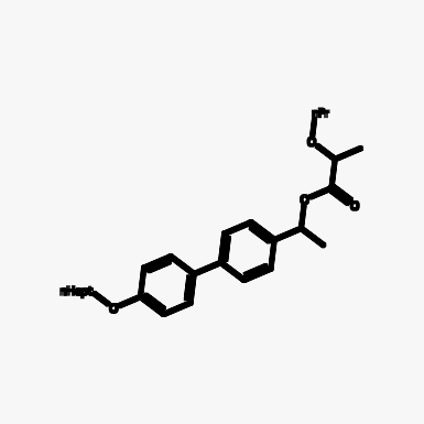 CCCCCCCOc1ccc(-c2ccc(C(C)OC(=O)C(C)OCCC)cc2)cc1